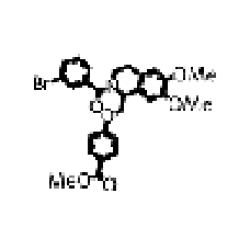 COC(=O)c1ccc(OCC2c3cc(OC)c(OC)cc3CCN2C(=O)c2cccc(Br)c2)cc1